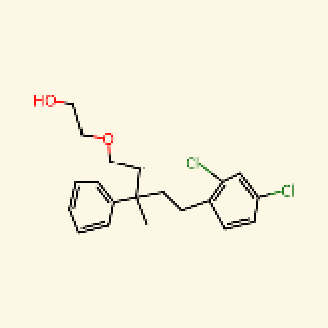 CC([CH]COCCO)(CCc1ccc(Cl)cc1Cl)c1ccccc1